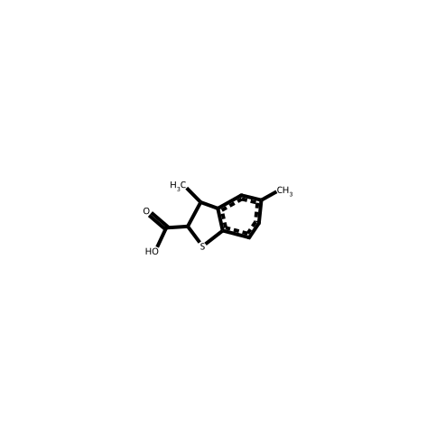 Cc1ccc2c(c1)C(C)C(C(=O)O)S2